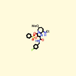 CCNC1=CC[C@H](OC)Cn2c1nc(C(=O)NCc1ccc(F)cc1)c(OS(=O)(=O)c1ccccc1)c2=O